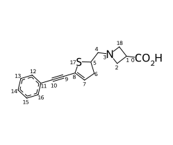 O=C(O)C1CN(CC2CC=C(C#Cc3ccccc3)S2)C1